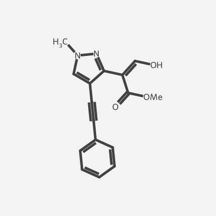 COC(=O)C(=CO)c1nn(C)cc1C#Cc1ccccc1